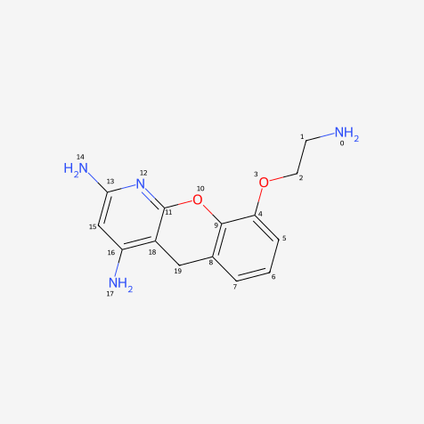 NCCOc1cccc2c1Oc1nc(N)cc(N)c1C2